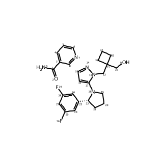 NC(=O)c1cccnc1.OCC1(Cn2nccc2N2CCC[C@@H]2c2cc(F)cc(F)c2)CCC1